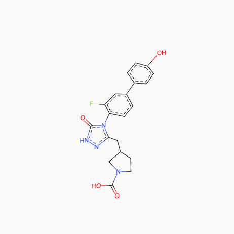 O=C(O)N1CCC(Cc2n[nH]c(=O)n2-c2ccc(-c3ccc(O)cc3)cc2F)C1